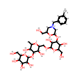 CC1OC(COC2OC(CO)C(O)C(OC3CN(Cc4cccc(C(F)(F)F)c4)CC(CO)O3)C2O)C(O)C(OC2OC(CO)C(O)C(O)C2O)C1O